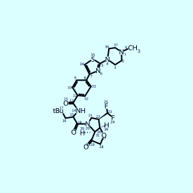 CN1CCN(c2nc(-c3ccc(C(=O)NC(CC(C)(C)C)C(=O)N4C[C@@H](C(F)F)[C@H]5OCC(=O)[C@H]54)cc3)cs2)CC1